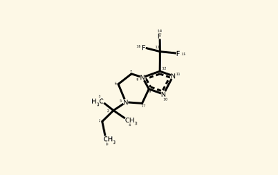 CCC(C)(C)N1CCn2c(nnc2C(F)(F)F)C1